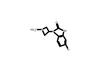 [2H]c1ccc2c(c1)[nH]c(=O)n2C1CN(C(=O)O)C1